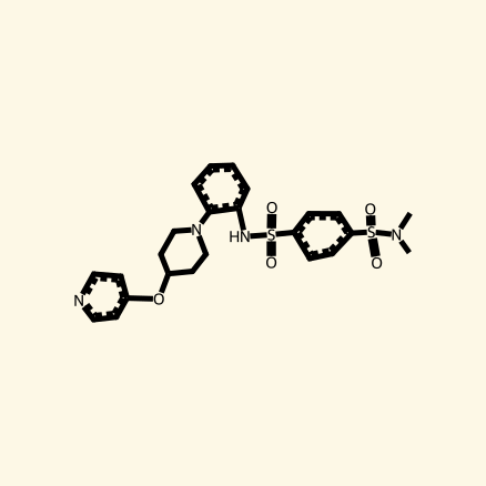 CN(C)S(=O)(=O)c1ccc(S(=O)(=O)Nc2ccccc2N2CCC(Oc3ccncc3)CC2)cc1